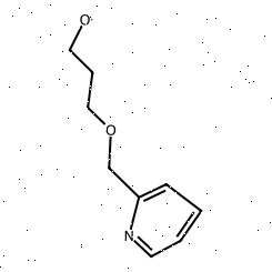 [O]CCCOCc1ccccn1